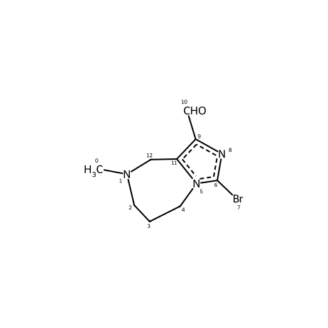 CN1CCCn2c(Br)nc(C=O)c2C1